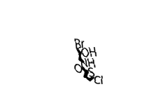 O=C(NCC(O)CBr)c1ccc(Cl)s1